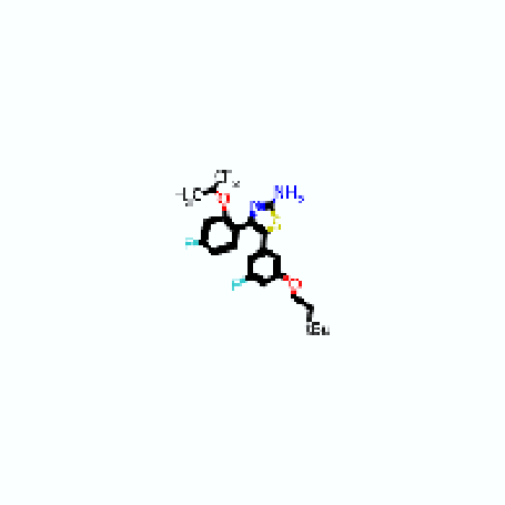 CC(Oc1cc(F)ccc1-c1nc(N)sc1-c1cc(F)cc(OCCC(C)(C)C)c1)C(F)(F)F